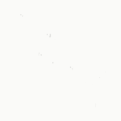 N/C=C\C=C(/N)CN1CCC2(CCN(C(=O)OC(C(F)(F)F)C(F)(F)F)CC2)C1